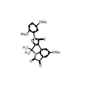 COc1cc2c3c(c1)-c1c(sn(-c4cc(OC)ccc4OC)c1=S)C(C)(C)N3C(=O)C2=O